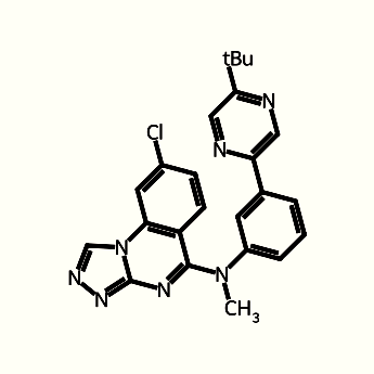 CN(c1cccc(-c2cnc(C(C)(C)C)cn2)c1)c1nc2nncn2c2cc(Cl)ccc12